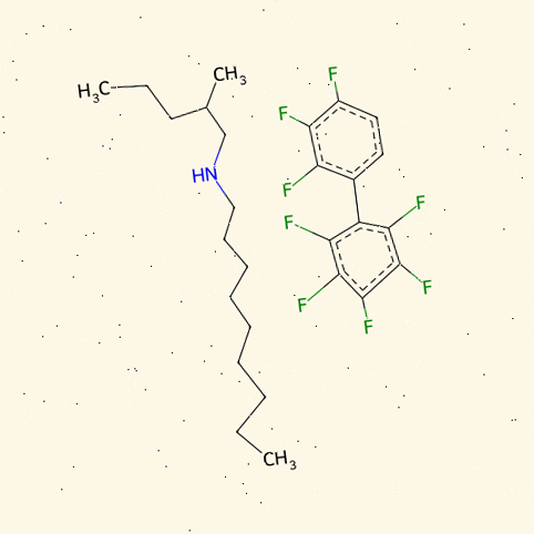 CCCCCCCCCNCC(C)CCC.Fc1ccc(-c2c(F)c(F)c(F)c(F)c2F)c(F)c1F